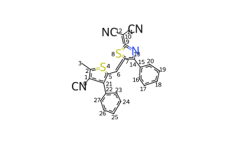 [C-]#[N+]c1c(C)sc(/C=c2\sc(=C(C#N)C#N)nc2-c2ccccc2)c1-c1ccccc1